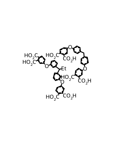 CCC(c1cccc(Oc2ccc(C(=O)O)c(C(=O)O)c2)c1)c1cccc(Oc2ccc(C(=O)O)c(C(=O)O)c2)c1.O=C(O)c1ccc(Oc2ccc(Cc3ccc(Oc4ccc(C(=O)O)c(C(=O)O)c4)cc3)cc2)cc1C(=O)O